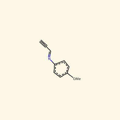 C#CC=Nc1ccc(OC)cc1